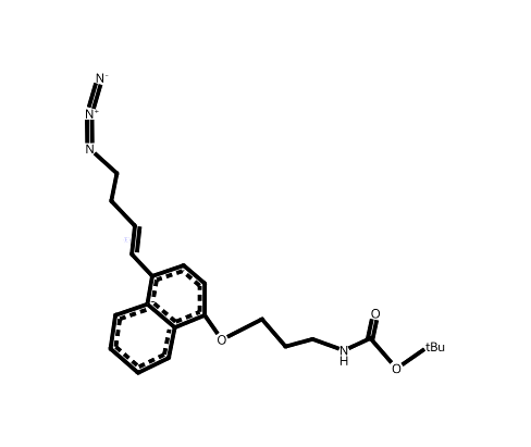 CC(C)(C)OC(=O)NCCCOc1ccc(/C=C/CCN=[N+]=[N-])c2ccccc12